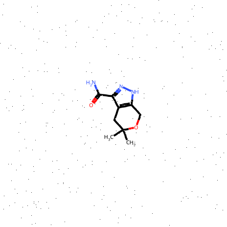 CC1(C)Cc2c(C(N)=O)n[nH]c2CO1